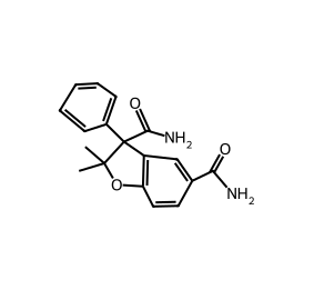 CC1(C)Oc2ccc(C(N)=O)cc2C1(C(N)=O)c1ccccc1